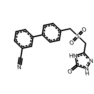 N#Cc1cccc(-c2ccc(CS(=O)(=O)Cc3n[nH]c(=O)[nH]3)cc2)c1